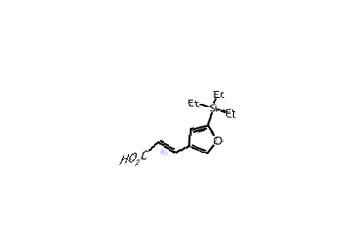 CC[Si](CC)(CC)c1cc(/C=C/C(=O)O)co1